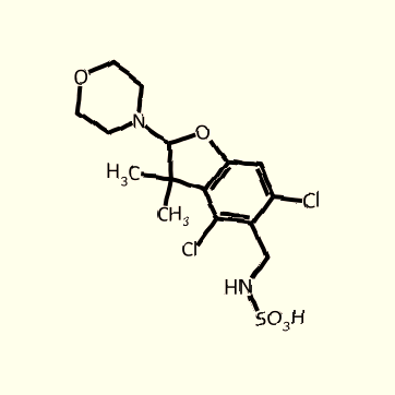 CC1(C)c2c(cc(Cl)c(CNS(=O)(=O)O)c2Cl)OC1N1CCOCC1